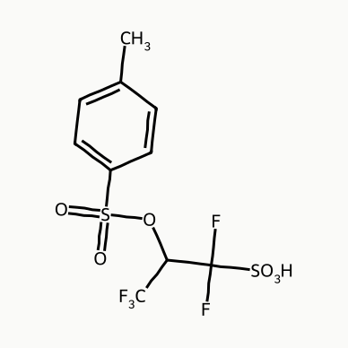 Cc1ccc(S(=O)(=O)OC(C(F)(F)F)C(F)(F)S(=O)(=O)O)cc1